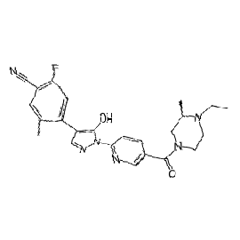 CCN1CCN(C(=O)c2ccc(-n3ncc(-c4cc(F)c(C#N)cc4C)c3O)nc2)C[C@H]1C